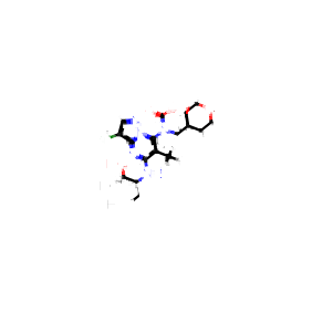 CC[C@H](Nc1nc2c(Br)cnn2c(N(CC2CCOCC2)C(=O)O)c1C(C)(C)C)[C@H](C)O